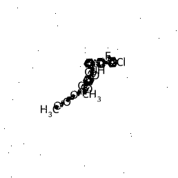 COCCOCCOCCN(C)S(=O)(=O)c1ccc(S(=O)(=O)Nc2ccccc2N2CCC(c3ccc(Cl)cc3F)CC2)cc1